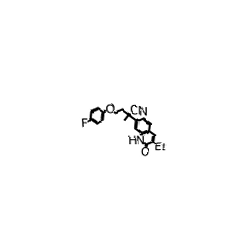 CCc1cc2ccc(C(C)(C#N)CCOc3ccc(F)cc3)cc2[nH]c1=O